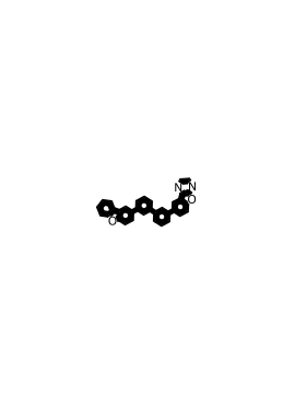 c1cc(-c2cccc(-c3ccc4oc5nccnc5c4c3)c2)cc(-c2ccc3oc4ccccc4c3c2)c1